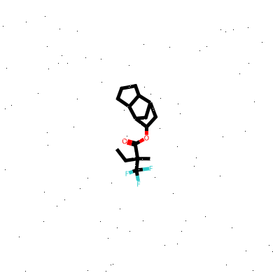 CCC(C)(C(=O)OC1CC2CC1C1CCCC21)C(F)(F)F